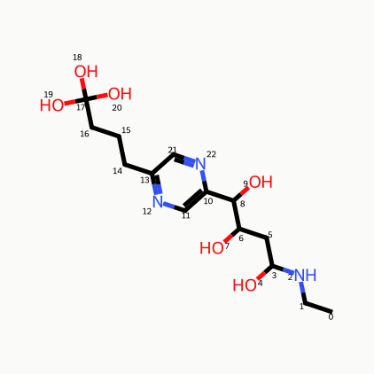 CCNC(O)CC(O)C(O)c1cnc(CCCC(O)(O)O)cn1